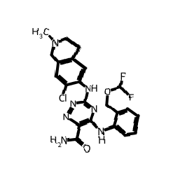 CN1CCc2cc(Nc3nnc(C(N)=O)c(Nc4ccccc4COC(F)F)n3)c(Cl)cc2C1